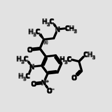 CC(C)C=O.C[C@@H](CN(C)C)C(=O)c1cccc([N+](=O)[O-])c1N(C)C